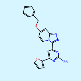 Nc1nc(-c2ccco2)cc(-c2nnc3cc(OCc4ccccc4)ccn23)n1